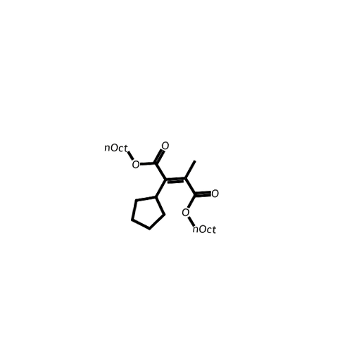 CCCCCCCCOC(=O)C(C)=C(C(=O)OCCCCCCCC)C1CCCC1